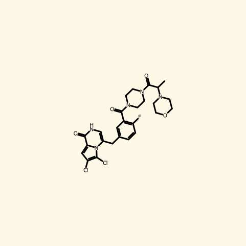 CC(C(=O)N1CCN(C(=O)c2cc(Cc3c[nH]c(=O)c4cc(Cl)c(Cl)n34)ccc2F)CC1)N1CCOCC1